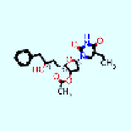 CCc1cn([C@@H]2CC(OC(C)=O)[C@H](CC[C@H](O)Cc3ccccc3)O2)c(=O)[nH]c1=O